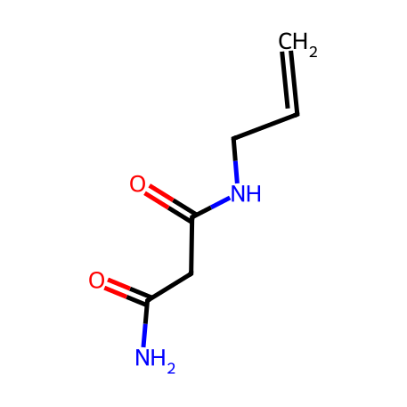 C=CCNC(=O)CC(N)=O